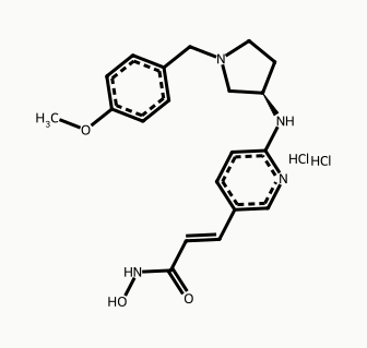 COc1ccc(CN2CC[C@@H](Nc3ccc(C=CC(=O)NO)cn3)C2)cc1.Cl.Cl